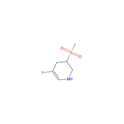 CS(=O)(=O)C1CNC=C(I)C1